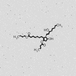 CCCCC[C@@H](O)/C=C/[C@@H]1C(CCCCCCC(=O)OCCCC)=C(OC(=O)CCC)C[C@H]1O